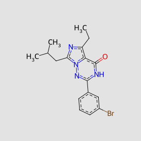 CCc1nc(CC(C)C)n2nc(-c3cccc(Br)c3)[nH]c(=O)c12